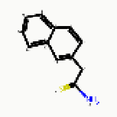 NC(=S)Cc1ccc2ccccc2c1